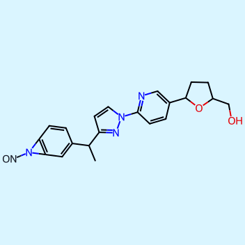 CC(c1ccc2c(c1)N2N=O)c1ccn(-c2ccc(C3CCC(CO)O3)cn2)n1